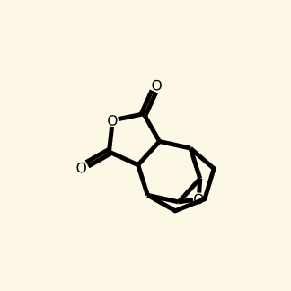 O=C1OC(=O)C2C3CCCC(C4OC34)C12